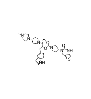 CN1CCN(C2CCN(C(=O)C(Cc3ccc4[nH]ncc4c3)OC(=O)N3CCC(N4Cc5cscc5NC4=O)CC3)CC2)CC1